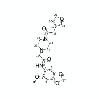 COc1cc2c(cc1NC(=O)CN1CCN(C(=O)Cc3ccoc3)CC1)OCO2